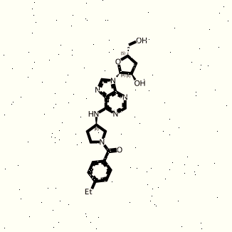 CCc1ccc(C(=O)N2CC[C@@H](Nc3ncnc4c3ncn4[C@@H]3O[C@H](CO)C[C@H]3O)C2)cc1